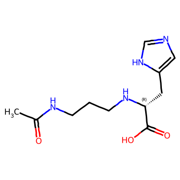 CC(=O)NCCCN[C@H](Cc1cnc[nH]1)C(=O)O